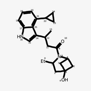 CCC1CC2(O)CC(C2)N1C(=O)CC(C)c1c[nH]c2cccc(C3CC3)c12